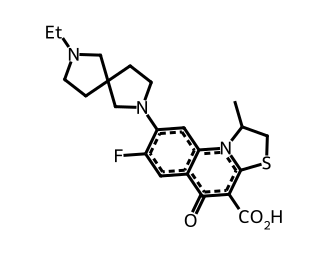 CCN1CCC2(CCN(c3cc4c(cc3F)c(=O)c(C(=O)O)c3n4C(C)CS3)C2)C1